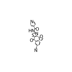 N#Cc1cccc(C(=O)c2sc(NC(=O)c3ccncc3)nc2-c2ccco2)c1